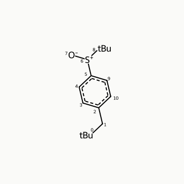 CC(C)(C)Cc1ccc([S+]([O-])C(C)(C)C)cc1